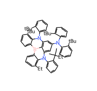 CCc1cccc2c1N(c1ccccc1C(C)(C)CC)c1cc(N(c3ccccc3C(C)(C)C)c3ccccc3C(C)(C)C)cc3c1B2c1cccc(C(C)(C)C)c1N3c1ccccc1C(C)(C)C